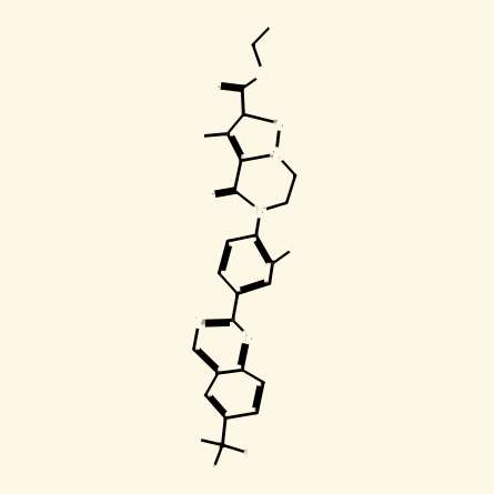 CCOC(=O)C1NN2CCN(c3ccc(-c4ncc5cc(C(F)(F)F)ccc5n4)cc3C)C(=O)C2=C1C